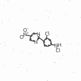 O=[N+]([O-])c1cnc(-c2ccc(NCl)cc2Cl)nc1